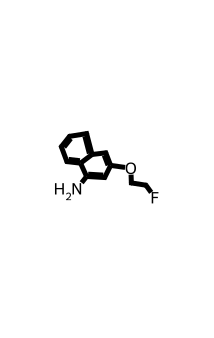 Nc1cc(OCCF)cc2ccccc12